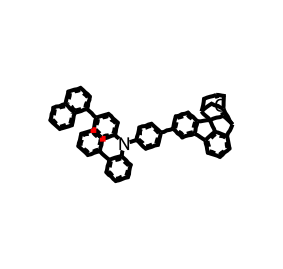 c1ccc(-c2ccccc2N(c2ccc(-c3ccc4c(c3)-c3cccc5c3C43C4CC6CC(C4)C5C3C6)cc2)c2ccc(-c3cccc4ccccc34)cc2)cc1